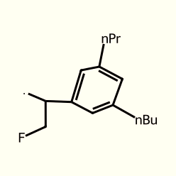 [CH2]C(CF)c1cc(CCC)cc(CCCC)c1